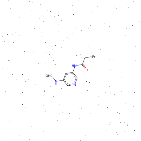 CC(C)CC(=O)Nc1cncc(NC=O)c1